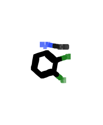 Clc1ccccc1Cl.NC=O